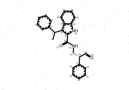 CC(c1ccccc1)c1c(C(=O)NC[C@H](C=O)c2ccccc2)[nH]c2ccccc12